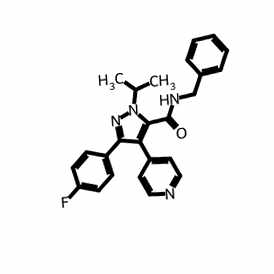 CC(C)n1nc(-c2ccc(F)cc2)c(-c2ccncc2)c1C(=O)NCc1ccccc1